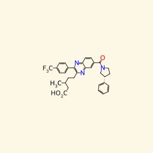 CC(CCc1nc2cc(C(=O)N3CC[C@H](c4ccccc4)C3)ccc2nc1-c1ccc(C(F)(F)F)cc1)CC(=O)O